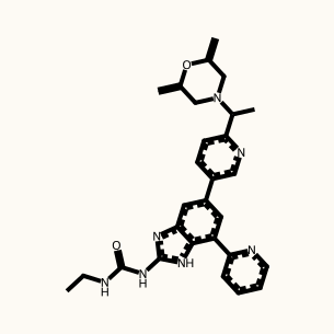 C=C1CN(C(C)c2ccc(-c3cc(-c4ccccn4)c4[nH]c(NC(=O)NCC)nc4c3)cn2)CC(=C)O1